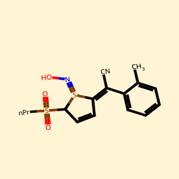 CCCS(=O)(=O)C1C=CC(=C(C#N)c2ccccc2C)S1=NO